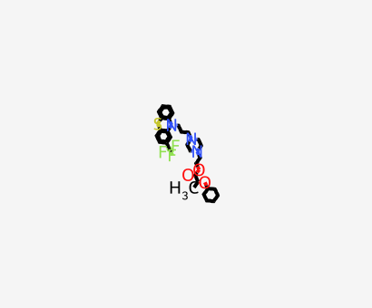 CC(OC1CCCCC1)C(=O)OCCN1CCN(CCCN2c3ccccc3Sc3ccc(C(F)(F)F)cc32)CC1